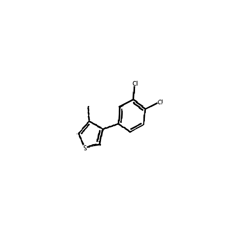 Cc1[c]scc1-c1ccc(Cl)c(Cl)c1